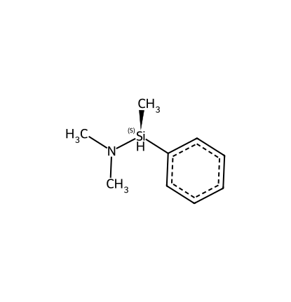 CN(C)[Si@@H](C)c1ccccc1